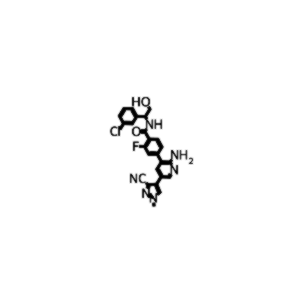 Cn1cc(-c2cnc(N)c(-c3ccc(C(=O)NC(CO)c4cccc(Cl)c4)c(F)c3)c2)c(C#N)n1